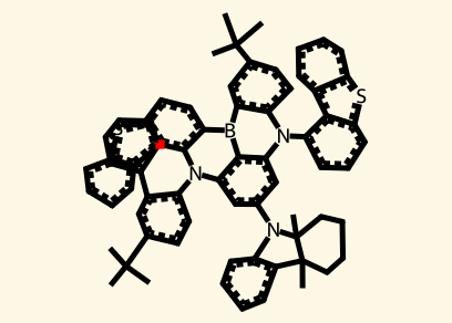 CC(C)(C)c1ccc2c(c1)B1c3ccc4sc5ccccc5c4c3N(c3ccc(C(C)(C)C)cc3-c3ccccc3)c3cc(N4c5ccccc5C5(C)CCCCC45C)cc(c31)N2c1cccc2sc3ccccc3c12